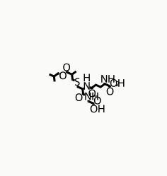 CC(C)COC(=O)C(C)CSCC(NC(=O)CCC(N)C(=O)O)C(=O)NCC(=O)O